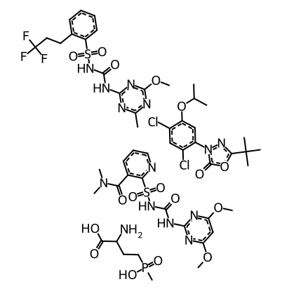 CC(C)Oc1cc(-n2nc(C(C)(C)C)oc2=O)c(Cl)cc1Cl.COc1cc(OC)nc(NC(=O)NS(=O)(=O)c2ncccc2C(=O)N(C)C)n1.COc1nc(C)nc(NC(=O)NS(=O)(=O)c2ccccc2CCC(F)(F)F)n1.CP(=O)(O)CCC(N)C(=O)O